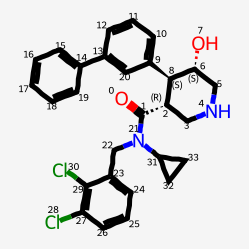 O=C([C@H]1CNC[C@@H](O)[C@@H]1c1cccc(-c2ccccc2)c1)N(Cc1cccc(Cl)c1Cl)C1CC1